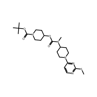 CSc1nccc(N2CCC(N(C)C(=O)OC3CCN(C(=O)OC(C)(C)C)CC3)CC2)n1